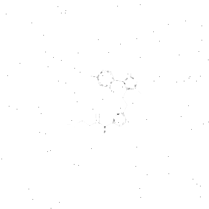 Cc1onc(-c2ccc(F)cn2)c1CCc1ncc(C(=O)NCCO)s1